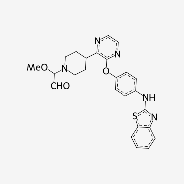 COC(C=O)N1CCC(c2nccnc2Oc2ccc(Nc3nc4ccccc4s3)cc2)CC1